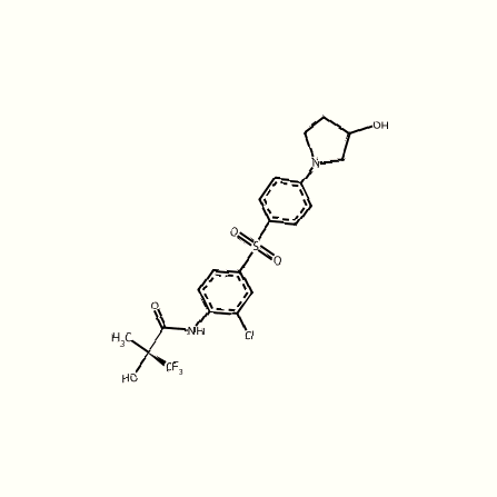 C[C@@](O)(C(=O)Nc1ccc(S(=O)(=O)c2ccc(N3CCC(O)C3)cc2)cc1Cl)C(F)(F)F